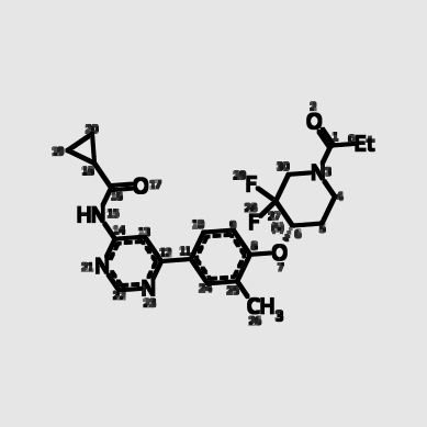 CCC(=O)N1CC[C@H](Oc2ccc(-c3cc(NC(=O)C4CC4)ncn3)cc2C)C(F)(F)C1